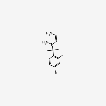 Cc1cc(Br)ccc1C(C)(C)N(N)/C=C\N